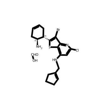 N[C@H]1CC=CC[C@@H]1c1sc2c(NCC3=CCCC3)cc(Cl)nc2c1Br.O=CO